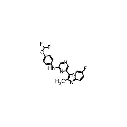 Cc1nc2ccc(F)cn2c1-c1cncc(Nc2ccc(OC(F)F)cc2)n1